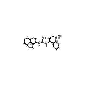 N=C(Nc1ccc2cccc3c2c1C=C3)Nc1ccc(O)c2ccccc12